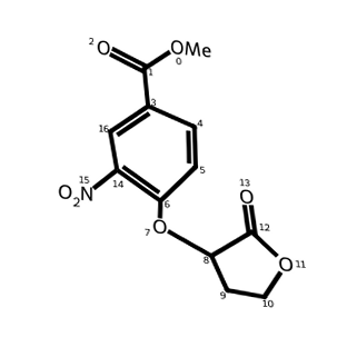 COC(=O)c1ccc(OC2CCOC2=O)c([N+](=O)[O-])c1